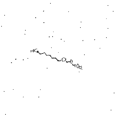 C#CCCCCCCCOCOCCCCCCCCC